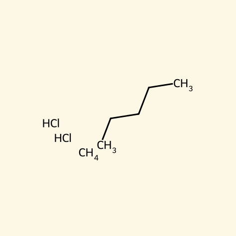 C.CCCCC.Cl.Cl